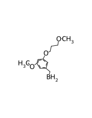 BCc1cc(OC)cc(OCCCOC)c1